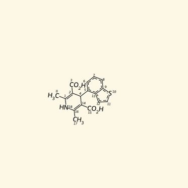 CC1=C(C(=O)O)C(c2cccc3sccc23)C(C(=O)O)=C(C)N1